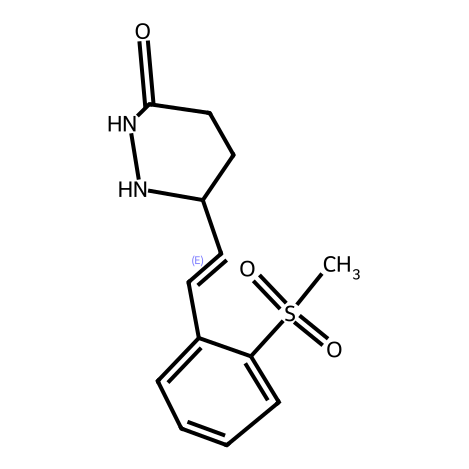 CS(=O)(=O)c1ccccc1/C=C/C1CCC(=O)NN1